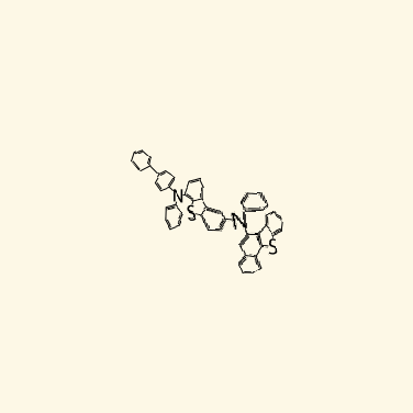 c1ccc(-c2ccc(N(c3ccccc3)c3cccc4c3sc3ccc(N(c5ccccc5)c5cc6ccccc6c6sc7ccccc7c56)cc34)cc2)cc1